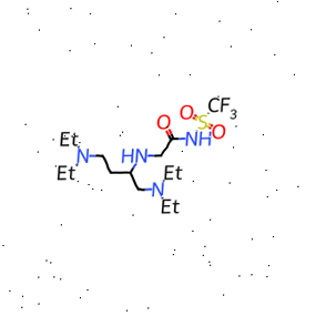 CCN(CC)CCC(CN(CC)CC)NCC(=O)NS(=O)(=O)C(F)(F)F